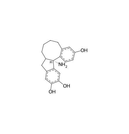 N[C@@]12c3ccc(O)cc3CCCCC1Cc1cc(O)c(O)cc12